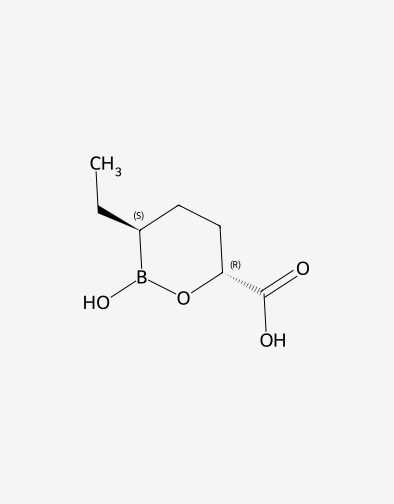 CC[C@H]1CC[C@H](C(=O)O)OB1O